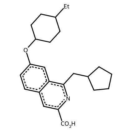 CCC1CCC(Oc2ccc3cc(C(=O)O)nc(CC4CCCC4)c3c2)CC1